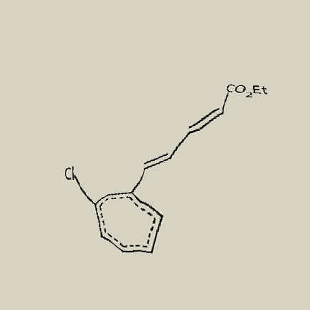 CCOC(=O)C=CC=Cc1ccccc1Cl